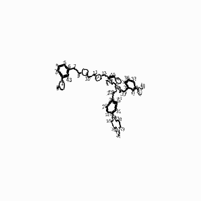 COc1cccc(CCOCCOCc2coc(N(Cc3ccc(N4CCN(C)CC4)cc3)Cc3cccc(OC)c3)n2)c1